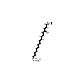 O=C(O)CCCCCCCCCCCCCC(=O)CCCO